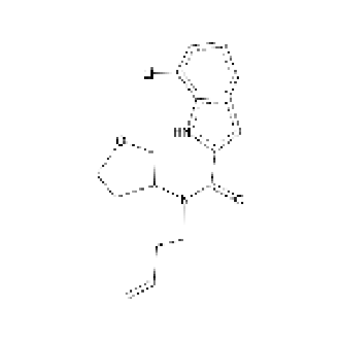 C=CCCN(C(=O)c1cc2cccc(Cl)c2[nH]1)C1CCOC1